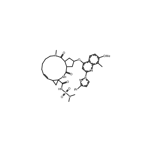 COc1ccc2c(OC3CC4C(=O)NC5(C(=O)NS(=O)(=O)N(C)C)CC5C=CCCCCN(C)C(=O)C4C3)cc(-n3ccc(C(C)C)n3)nc2c1C